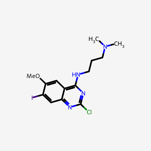 COc1cc2c(NCCCN(C)C)nc(Cl)nc2cc1I